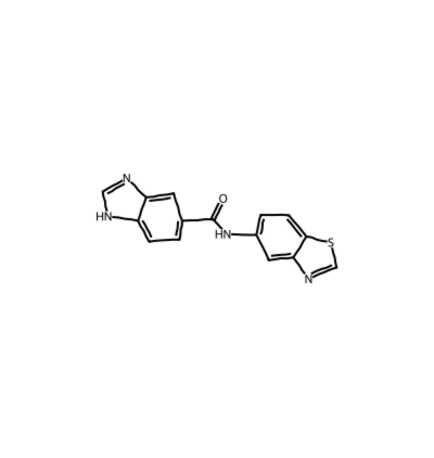 O=C(Nc1ccc2scnc2c1)c1ccc2[nH]cnc2c1